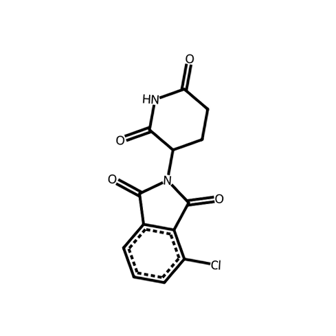 O=C1CCC(N2C(=O)c3cccc(Cl)c3C2=O)C(=O)N1